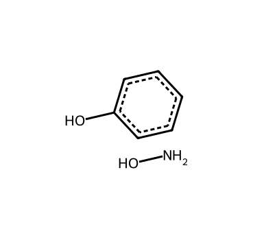 NO.Oc1ccccc1